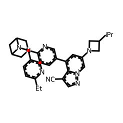 CCc1ccc(CN2C3CC2CN(c2ccc(-c4cc(N5CC(C(C)C)C5)cn5ncc(C#N)c45)cn2)C3)cn1